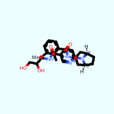 COc1cccc(C(=O)N[C@H]2C[C@H]3CC[C@@H](C2)N3c2ccc(C(=O)NCC(O)CO)cn2)c1C